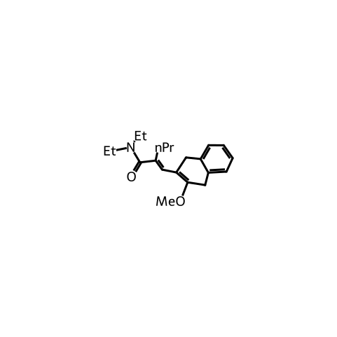 CCC/C(=C\C1=C(OC)Cc2ccccc2C1)C(=O)N(CC)CC